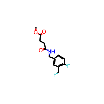 COC(=O)CCC(=O)NCc1ccc(F)c(CF)c1